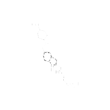 CC(C)(C)C1CCC(OCc2ccc3[nH]c(CNCCC(=O)O)cc3c2)CC1